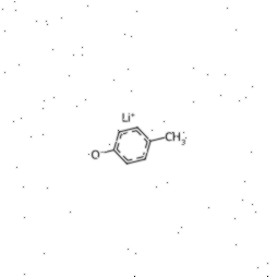 Cc1ccc([O-])cc1.[Li+]